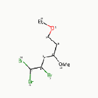 CCOCCC(CC(Br)C(Br)Br)OC